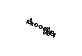 CO[C@H](C)Cc1nc(-c2ccc(-c3ccc(-c4c[nH]c([C@@H](NC(=O)[C@@]5(C)CCC(F)(F)CO5)[C@@H](C)OC)n4)cc3)cc2)c[nH]1